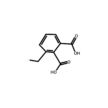 [CH2]Cc1cccc(C(=O)O)c1C(=O)O